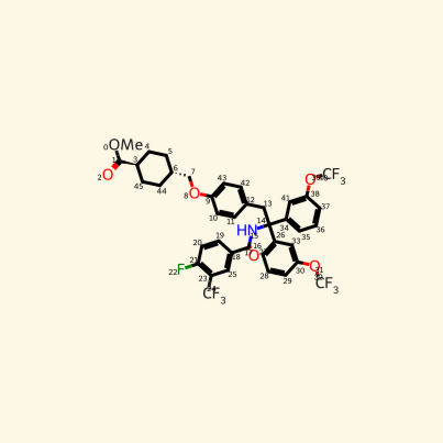 COC(=O)[C@H]1CC[C@H](COc2ccc(CC(NC(=O)c3ccc(F)c(C(F)(F)F)c3)(c3cccc(OC(F)(F)F)c3)c3cccc(OC(F)(F)F)c3)cc2)CC1